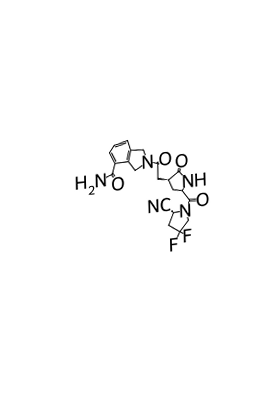 N#C[C@@H]1CC(F)(F)CN1C(=O)C1C[C@@H](CC(=O)N2Cc3cccc(C(N)=O)c3C2)C(=O)N1